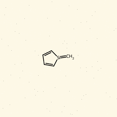 C=[Si]1C=CC=C1